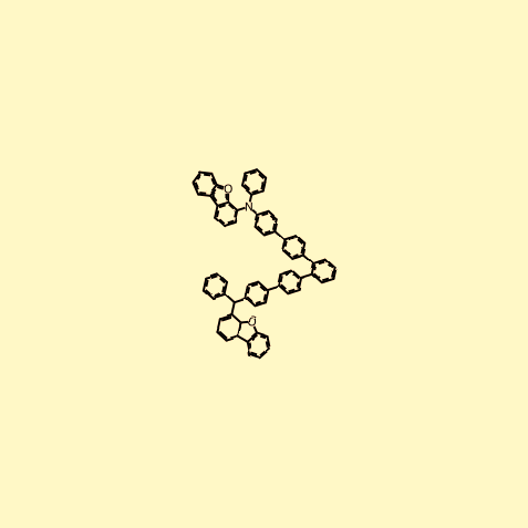 C1=CC2c3ccccc3OC2C(C(c2ccccc2)c2ccc(-c3ccc(-c4ccccc4-c4ccc(-c5ccc(N(c6ccccc6)c6cccc7c6oc6ccccc67)cc5)cc4)cc3)cc2)=C1